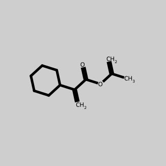 C=C(C)OC(=O)C(=C)C1CCCCC1